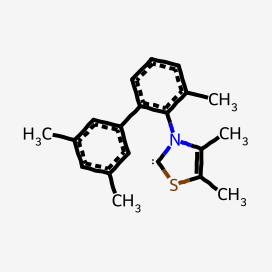 CC1=C(C)N(c2c(C)cccc2-c2cc(C)cc(C)c2)[C]S1